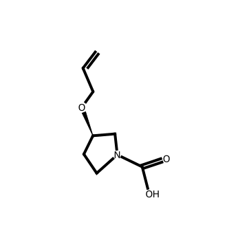 C=CCO[C@@H]1CCN(C(=O)O)C1